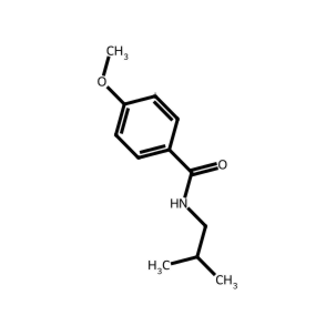 COc1[c]cc(C(=O)NCC(C)C)cc1